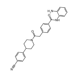 N#Cc1ccc(C2CCN(C(=O)Cc3ccc(C(=O)Nc4ccccc4N)cc3)CC2)cc1